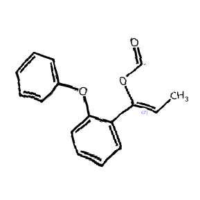 C/C=C(\O[C]=O)c1ccccc1Oc1ccccc1